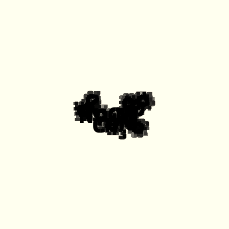 Cc1cc(-n2c3ccccc3c3cccnc32)ccc1-c1cccc(-c2nc(-c3ccccc3)nc(-c3cccc4c3oc3ccccc34)n2)c1C